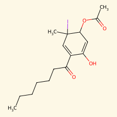 CCCCCCC(=O)C1=CC(C)(I)C(OC(C)=O)C=C1O